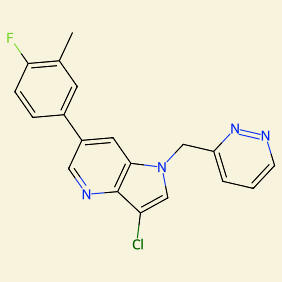 Cc1cc(-c2cnc3c(Cl)cn(Cc4cccnn4)c3c2)ccc1F